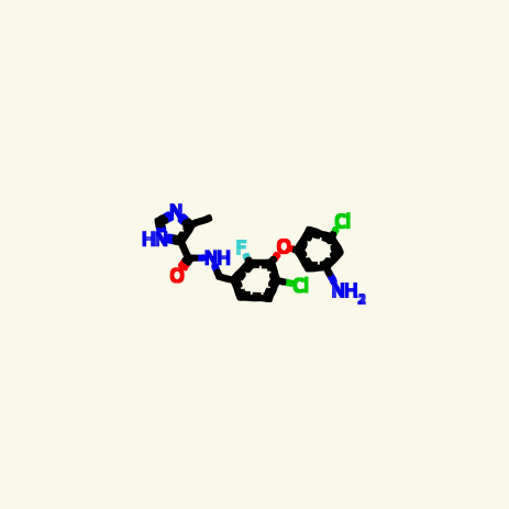 Cc1nc[nH]c1C(=O)NCc1ccc(Cl)c(Oc2cc(N)cc(Cl)c2)c1F